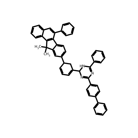 CC1(C)c2cc(C3C=CC=C(C4N=C(c5ccc(-c6ccccc6)cc5)N=C(c5ccccc5)N4)C3)ccc2-c2c(-c3ccccc3)cc3ccccc3c21